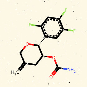 C=C1CO[C@H](c2cc(F)c(F)cc2F)[C@@H](OC(N)=O)C1